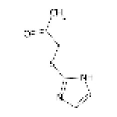 CC(=O)CSc1ncc[nH]1